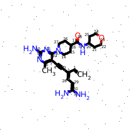 C=C/C(C#Cc1c(C)nc(N)nc1N1CCC(C(=O)NC2CCOCC2)CC1)=C\C=C(N)N